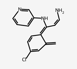 C=c1cc(Cl)cc/c1=C(/C=C\N)Nc1cccnc1